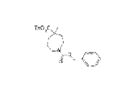 CCOC(=O)C1(C)CCCN(C(=O)OCc2ccccc2)CC1